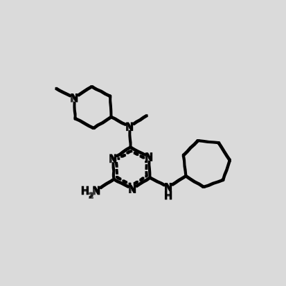 CN1CCC(N(C)c2nc(N)nc(NC3CCCCCC3)n2)CC1